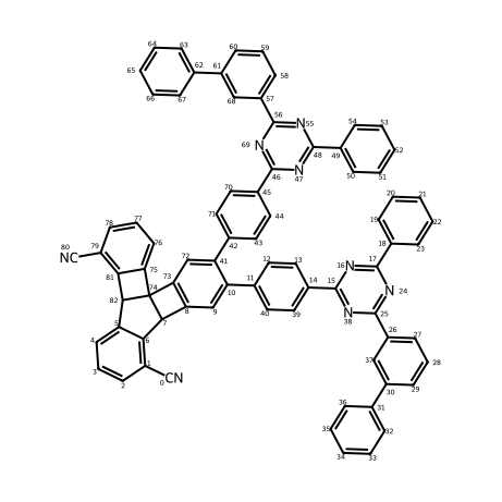 N#Cc1cccc2c1C1c3cc(-c4ccc(-c5nc(-c6ccccc6)nc(-c6cccc(-c7ccccc7)c6)n5)cc4)c(-c4ccc(-c5nc(-c6ccccc6)nc(-c6cccc(-c7ccccc7)c6)n5)cc4)cc3C13c1cccc(C#N)c1C23